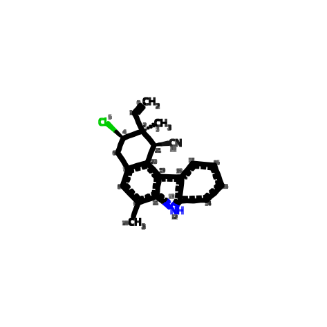 C=C[C@]1(C)[C@H](Cl)Cc2cc(C)c3[nH]c4ccccc4c3c2[C@@H]1C#N